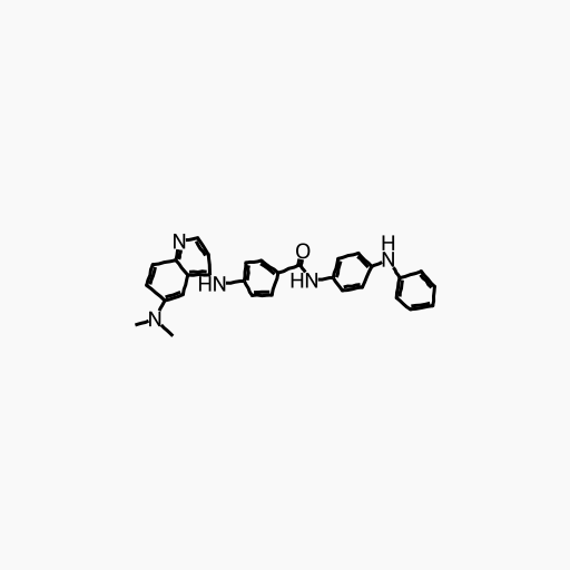 CN(C)c1ccc2nccc(Nc3ccc(C(=O)Nc4ccc(Nc5ccccc5)cc4)cc3)c2c1